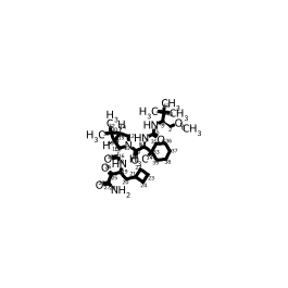 COC[C@@H](NC(=O)N[C@H](C(=O)N1C[C@H]2[C@@H]([C@H]1C(=O)NC(CC1CCC1)C(=O)C(N)=O)C2(C)C)C1(C)CCCCC1)C(C)(C)C